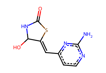 Nc1nccc(/C=C2\SC(=O)NC2O)n1